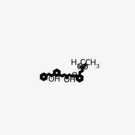 CC(C)OC(=O)CCc1ccccc1OCCC(O)/C=C/c1cccc([C@H](O)Cc2ccccc2)c1